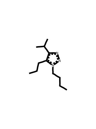 CCCCn1nnc(C(C)C)c1CCC